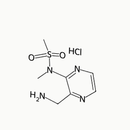 CN(c1nccnc1CN)S(C)(=O)=O.Cl